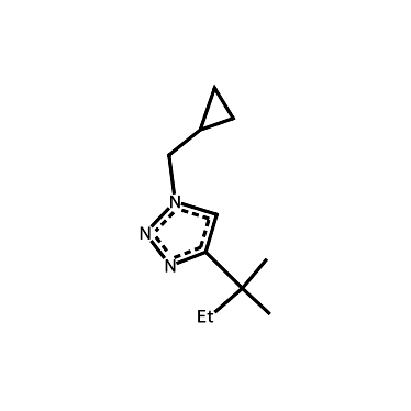 CCC(C)(C)c1cn(CC2CC2)nn1